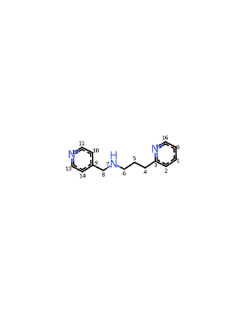 c1ccc(CCCNCc2ccncc2)nc1